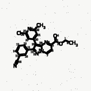 CCOC(=O)c1ccn2nc(-c3cccc(C#N)c3)c(-c3cc(C)nc(Cl)c3)c2n1